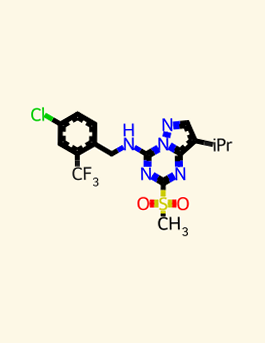 CC(C)c1cnn2c(NCc3ccc(Cl)cc3C(F)(F)F)nc(S(C)(=O)=O)nc12